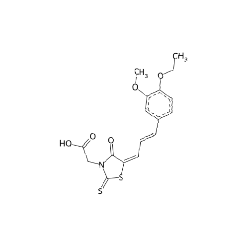 CCOc1ccc(C=CC=C2SC(=S)N(CC(=O)O)C2=O)cc1OC